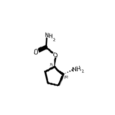 NC(=O)O[C@@H]1CCC[C@H]1N